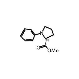 COC(=O)[C@H]1CCCN1c1ccccc1